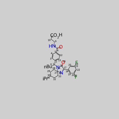 CCCCC(c1ccc(C(=O)NCCC(=O)O)cc1)N1C(=O)C(c2cc(F)cc(F)c2)=NC12CCC(C(C)C)CC2